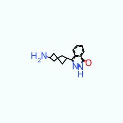 NC1CC2(C1)CC(c1n[nH]c(=O)c3ccccc13)C2